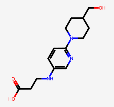 O=C(O)CCNc1ccc(N2CCC(CO)CC2)nc1